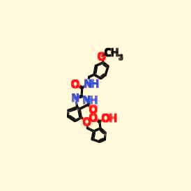 COc1cccc(CNC(=O)c2nc3cccc(OCc4ccccc4C(=O)O)c3c(=O)[nH]2)c1